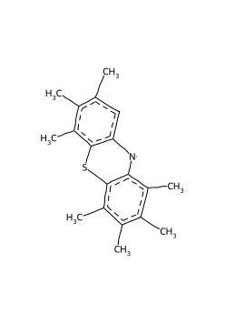 Cc1cc2c(c(C)c1C)Sc1c(C)c(C)c(C)c(C)c1[N]2